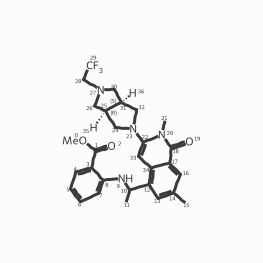 COC(=O)c1ccccc1NC(C)c1cc(C)cc2c(=O)n(C)c(N3C[C@H]4CN(CC(F)(F)F)C[C@H]4C3)cc12